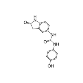 O=C1Cc2cc(NC(=O)Nc3ccc(O)cc3)ccc2N1